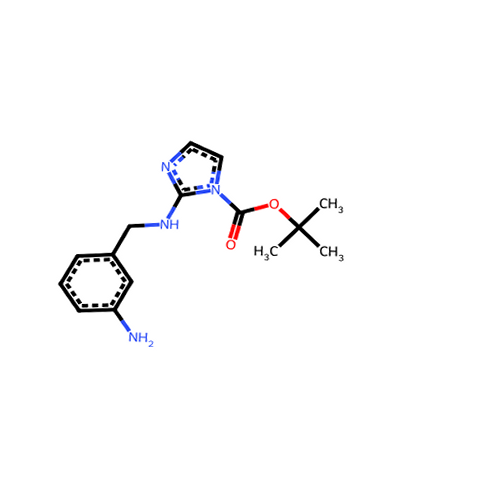 CC(C)(C)OC(=O)n1ccnc1NCc1cccc(N)c1